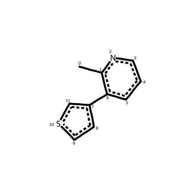 Cc1ncccc1-c1ccsc1